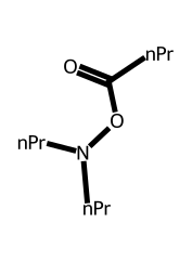 CCCC(=O)ON(CCC)CCC